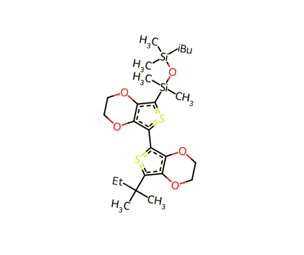 CCC(C)[Si](C)(C)O[Si](C)(C)c1sc(-c2sc(C(C)(C)CC)c3c2OCCO3)c2c1OCCO2